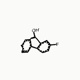 OC1c2ccccc2-c2ccc(F)cc21